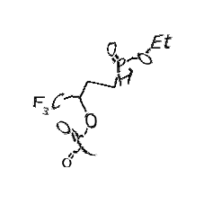 CCO[PH](=O)CCC(OS(C)(=O)=O)C(F)(F)F